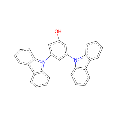 Oc1cc(-n2c3ccccc3c3ccccc32)cc(-n2c3ccccc3c3ccccc32)c1